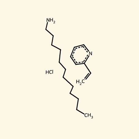 C=Cc1ccccn1.CCCCCCCCCCCCN.Cl